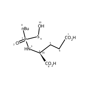 CCCCP(=O)(N[C@@H](CCC(=O)O)C(=O)O)SO